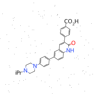 CC(C)N1CCN(c2ccc(-c3ccc4[nH]c(=O)c(-c5ccc(C(=O)O)cc5)cc4c3)cc2)CC1